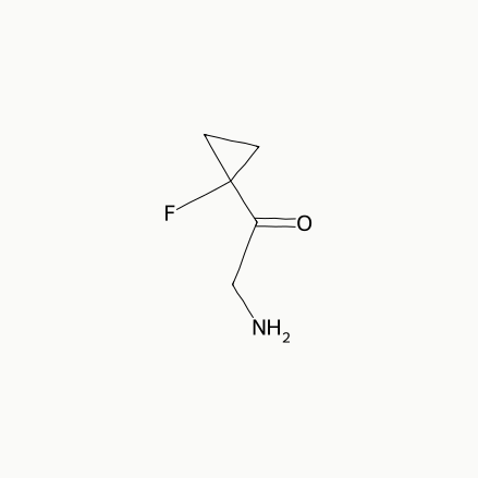 NCC(=O)C1(F)CC1